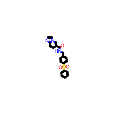 O=C(NCc1ccc(S(=O)(=O)c2ccccc2)cc1)c1ccc2nccn2c1